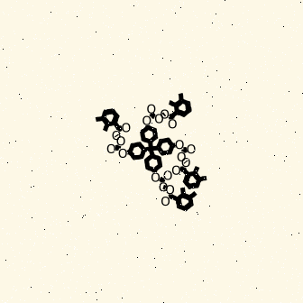 Cc1cccc(C(=O)OOC(=O)OC2CCC(C(C3CCC(OC(=O)OOC(=O)c4cccc(C)c4C)CC3)(C3CCC(OC(=O)OOC(=O)c4cccc(C)c4C)CC3)C3CCC(OC(=O)OOC(=O)c4cccc(C)c4C)CC3)CC2)c1C